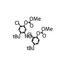 COC(=O)Oc1cc([N+](=O)[O-])c(C(C)(C)C)cc1Cl.COC(=O)Oc1ccc(C(C)(C)C)cc1Cl